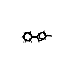 CC1=CC2CC1CC2c1ccccc1